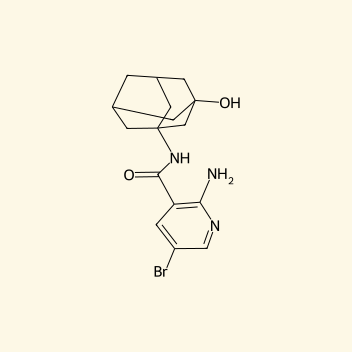 Nc1ncc(Br)cc1C(=O)NC12CC3CC(CC(O)(C3)C1)C2